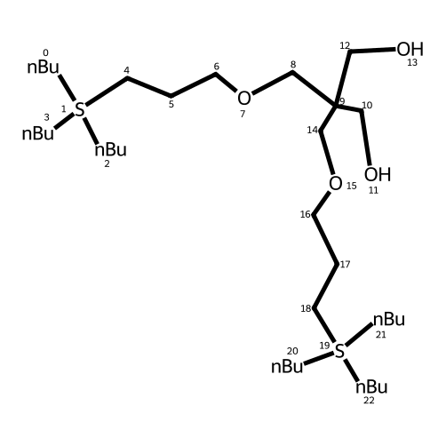 CCCCS(CCCC)(CCCC)CCCOCC(CO)(CO)COCCCS(CCCC)(CCCC)CCCC